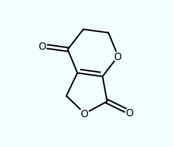 O=C1CCOC2=C1COC2=O